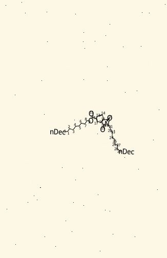 CCCCCCCCCCCCCCCCCCOC(=O)c1ccc2c(c1)C(=O)N(CCCCCCCCCCCCCCCCCC)C2=O